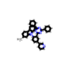 Cc1ccc2c3ccccc3n(-c3ccc(-c4cccnc4)cc3-c3nc(-c4ccccc4)nc(-c4ccccc4)n3)c2c1